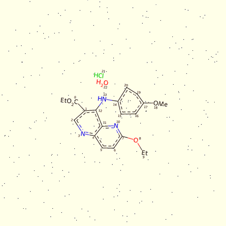 CCOC(=O)c1cnc2ccc(OCC)nc2c1Nc1ccc(OC)cc1.Cl.O